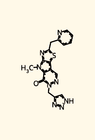 Cn1c2nc(Cc3ccccn3)sc2c2cnn(Cc3c[nH]nn3)c(=O)c21